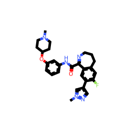 CN1CCC(Oc2cccc(NC(=O)C3=NCCCc4cc(F)c(-c5cnn(C)c5)cc43)c2)CC1